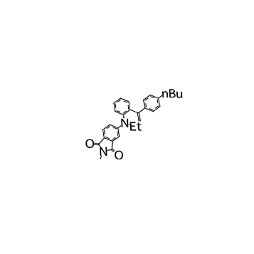 C=C(c1ccc(CCCC)cc1)c1ccccc1N(CC)c1ccc2c(c1)C(=O)N(C)C2=O